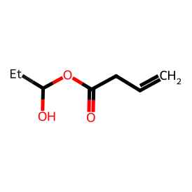 C=CCC(=O)OC(O)CC